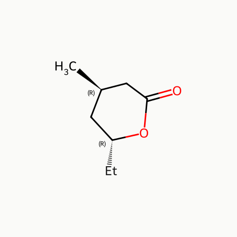 CC[C@@H]1C[C@@H](C)CC(=O)O1